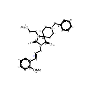 COCCN1C(=O)N(C/C=C/c2ccccc2OC)C(=O)C12CCN(Cc1ccccc1)CC2